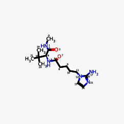 CNC(=O)[C@@H](NC(=O)CCCCn1ccnc1N)C(C)(C)C